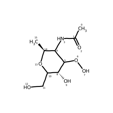 CC(=O)NC1C(OO)[C@H](O)C(CO)O[C@H]1C